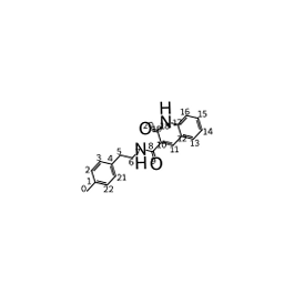 Cc1ccc(CCNC(=O)c2cc3ccccc3[nH]c2=O)cc1